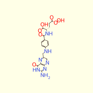 Nc1nc2ncc(CNc3ccc(C(=O)N[C@@H](CCC(=O)OO)C(=O)O)cc3)nc2c(=O)[nH]1